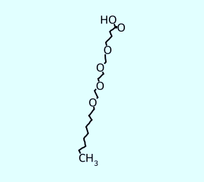 CCCCCCCCCOCCOCCOCCOCCCC(=O)O